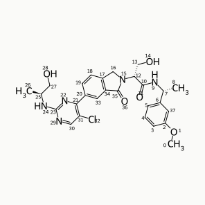 COc1cccc([C@@H](C)NC(=O)[C@@H](CO)N2Cc3ccc(-c4nc(N[C@@H](C)CO)ncc4Cl)cc3C2=O)c1